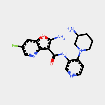 Nc1oc2cc(F)cnc2c1C(=O)Nc1cnccc1N1CCCC(N)C1